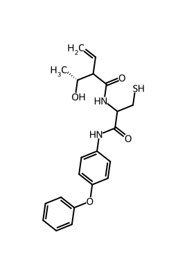 C=CC(C(=O)NC(CS)C(=O)Nc1ccc(Oc2ccccc2)cc1)[C@@H](C)O